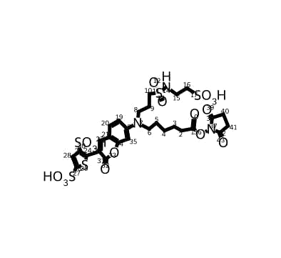 O=C(CCCCCN(CCCS(=O)(=O)NCCS(=O)(=O)O)c1ccc2cc(-c3sc(S(=O)(=O)O)cc3S(=O)(=O)O)c(=O)oc2c1)ON1C(=O)CCC1=O